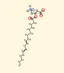 CCCCC/C=C/C/C=C/CCCCCCCC(=O)OC(CC(=O)[O-])C[N+](C)(C)C